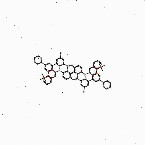 C[Si](C)(C)c1ccc(N(c2c(F)cc(F)cc2-c2cc(-c3ccccc3)cc(-c3ccccc3)c2)c2ccc3ccc4c(N(c5ccc([Si](C)(C)C)cc5)c5c(F)cc(F)cc5-c5cc(-c6ccccc6)cc(-c6ccccc6)c5)ccc5ccc2c3c54)cc1